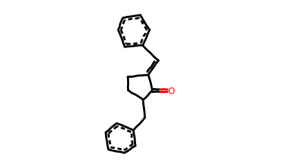 O=C1C(=Cc2ccccc2)CCC1Cc1ccccc1